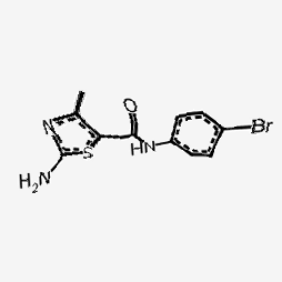 Cc1nc(N)sc1C(=O)Nc1ccc(Br)cc1